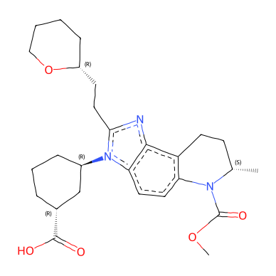 COC(=O)N1c2ccc3c(nc(CC[C@H]4CCCCO4)n3[C@@H]3CCC[C@@H](C(=O)O)C3)c2CC[C@@H]1C